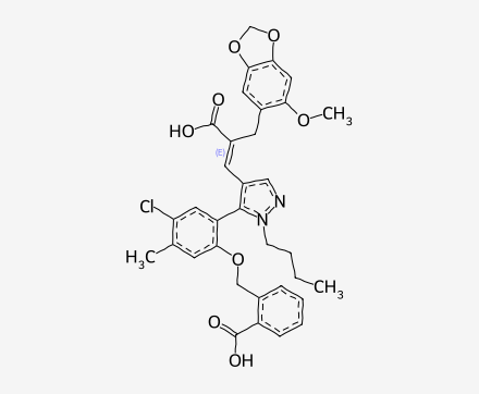 CCCCn1ncc(/C=C(\Cc2cc3c(cc2OC)OCO3)C(=O)O)c1-c1cc(Cl)c(C)cc1OCc1ccccc1C(=O)O